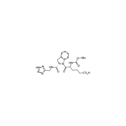 CC(C)(C)OC(=O)NC(CCCC(=O)O)C(=O)N1c2ccccc2C[C@H]1C(=O)NCc1nn[nH]n1